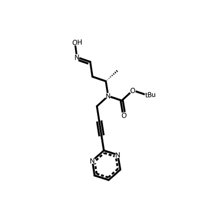 C[C@@H](C/C=N/O)N(CC#Cc1ncccn1)C(=O)OC(C)(C)C